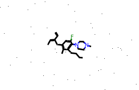 C=C/C(=C/C)Cc1cc(F)c(N2CCN(C)CC2)c(CCCC)c1C